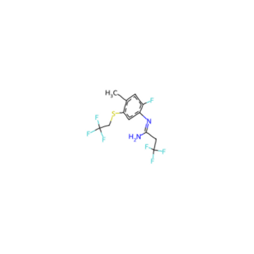 Cc1cc(F)c(/N=C(\N)CC(F)(F)F)cc1SCC(F)(F)F